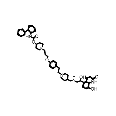 O=C(Nc1ccccc1-c1ccccc1)OC1CCN(CCCOc2ccc(CCN3CCC(CNCC(O)c4ccc(O)c5[nH]c(=O)ccc45)CC3)cc2)CC1